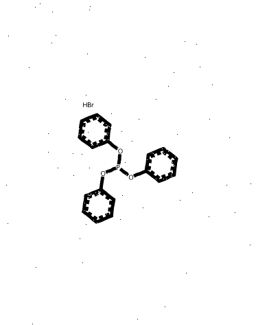 Br.c1ccc(OP(Oc2ccccc2)Oc2ccccc2)cc1